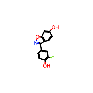 Oc1ccc2c(-c3ccc(O)c(F)c3)noc2c1